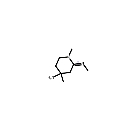 C/N=C1\CC(C)(N)CCN1C